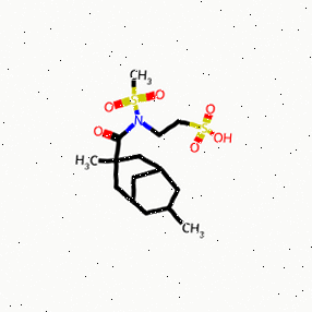 CC1CC2CC(C1)CC(C)(C(=O)N(CCS(=O)(=O)O)S(C)(=O)=O)C2